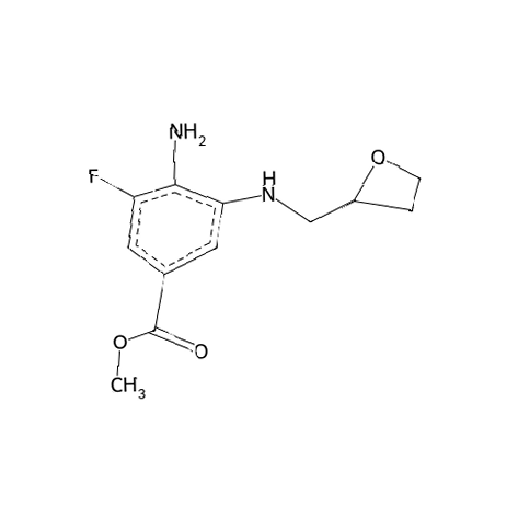 COC(=O)c1cc(F)c(N)c(NCC2CCO2)c1